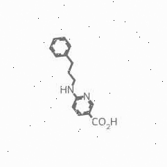 O=C(O)c1ccc(NCCCc2ccccc2)nc1